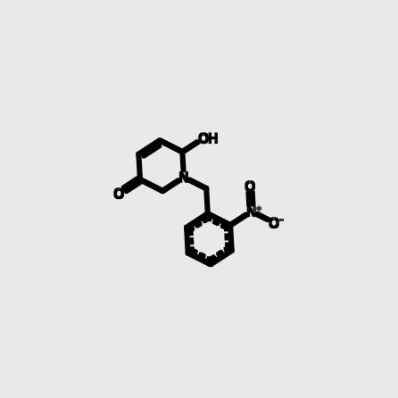 O=C1C=CC(O)N(Cc2ccccc2[N+](=O)[O-])C1